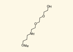 COCCCNCCOCCOCCO